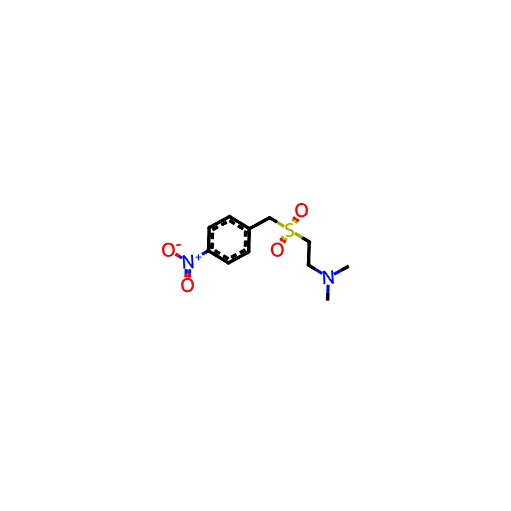 CN(C)CCS(=O)(=O)Cc1ccc([N+](=O)[O-])cc1